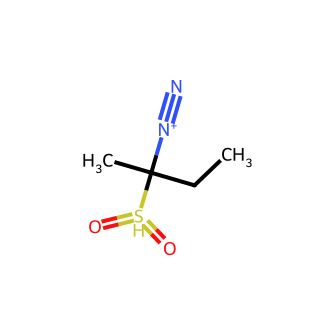 CCC(C)([N+]#N)[SH](=O)=O